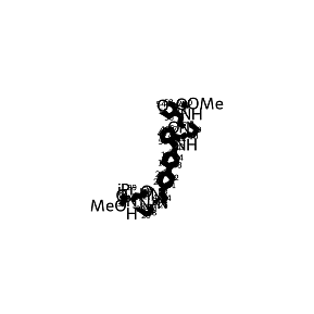 COC(=O)NC(C(=O)N1CCCC1c1[nH]c(-c2ccc(-c3ccc(-c4cnc([C@@H]5CCCN5C(=O)[C@@H](NC(=O)OC)C(C)C)[nH]4)cc3)cc2)c2c1CCCC2)C1CCOCC1